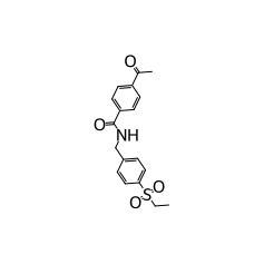 CCS(=O)(=O)c1ccc(CNC(=O)c2ccc(C(C)=O)cc2)cc1